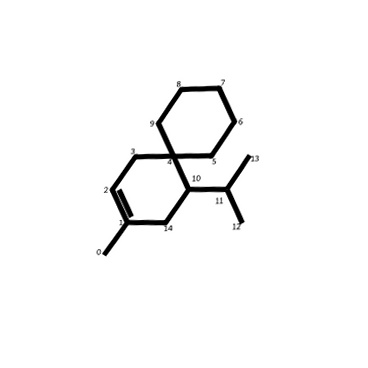 CC1=CCC2(CCCCC2)C(C(C)C)C1